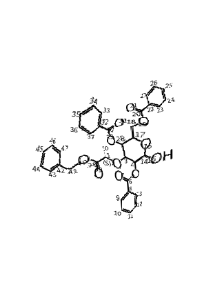 C[C@H](OC1C(OC(=O)c2ccccc2)C(O)OC(COC(=O)c2ccccc2)C1OC(=O)c1ccccc1)C(=O)OCc1ccccc1